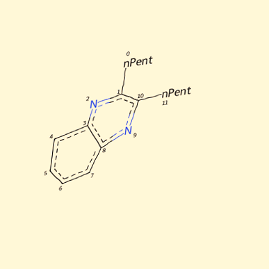 CCCCCc1nc2ccccc2nc1CCCCC